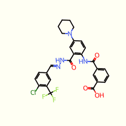 O=C(O)c1cccc(C(=O)Nc2ccc(N3CCCCC3)cc2C(=O)NN=Cc2ccc(Cl)c(C(F)(F)F)c2)c1